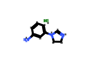 Cl.Nc1cccc(N2C=NCC2)c1